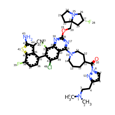 CN(C)CCc1ccn(C(=O)C2CCCN(c3nc(OC[C@@]45CCCN4C[C@H](F)C5)nc4c(F)c(-c5ccc(F)c6sc(N)c(C#N)c56)c(Cl)cc34)CC2)n1